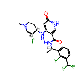 C[C@@H](NC(=O)c1c[nH]c(=O)cc1N[C@H]1CCN(C)C[C@H]1F)c1cccc(C(F)F)c1F